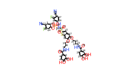 N#Cc1ccc(OP(=O)(CNS(=O)(=O)c2cc3cc(OCCCCNC(=O)c4ccc(O)c(O)c4)c(OCCCNC(=O)c4ccc(O)c(O)c4)cc3s2)Oc2ccc(C#N)c(F)c2)cc1F